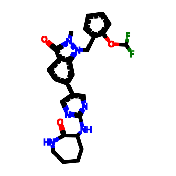 Cn1c(=O)c2ccc(-c3cnc(NC4CCCCNC4=O)nc3)cc2n1Cc1ccccc1OC(F)F